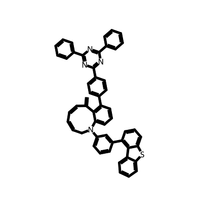 C=C1/C=C\C=C/CN(c2cccc(-c3cccc4sc5ccccc5c34)c2)c2cccc(-c3ccc(-c4nc(-c5ccccc5)nc(-c5ccccc5)n4)cc3)c21